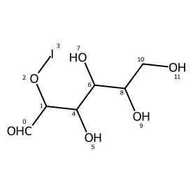 O=CC(OI)C(O)C(O)C(O)CO